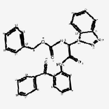 O=C(NC(C(=O)Nc1ccccc1C(=O)c1ccccc1)n1nnc2ccccc21)OCc1ccccc1